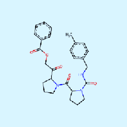 Cc1ccc(CNC(=O)N2CCCC2C(=O)N2CCCC2C(=O)COC(=O)c2ccccc2)cc1